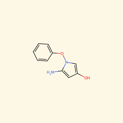 Nc1cc(O)cn1Oc1ccccc1